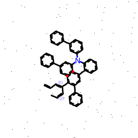 C=C/C=C(\C=C/C)c1ccc(-c2ccccc2N(c2cccc(-c3ccccc3)c2)c2cccc(-c3ccccc3)c2)cc1-c1ccccc1